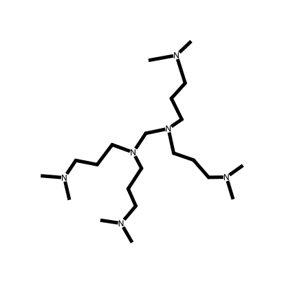 CN(C)CCCN(CCCN(C)C)CN(CCCN(C)C)CCCN(C)C